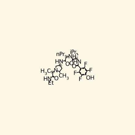 CCC[C@H](NC(=O)[C@H](CC(C)C)NC(=O)c1c(F)c(F)c(O)c(F)c1F)C(=O)N[C@H]1CC(C)N([C@@H](C)C(=O)NCC)C1